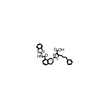 O=C(Nc1nc2ccccc2s1)c1cccc2c1CN(c1nc(C(=O)O)c(CCCc3ccccc3)s1)CC2